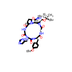 CC(C)(C)NC(=O)[C@H]1[C@@H]2[C@@H](CO[Si](C)(C)C(C)(C)C)N2C(=O)CNC(=O)[C@H](Cc2ccc(OC(C)(C)C)cc2)NC(=O)[C@H](Cc2cnc[nH]2)NC(=O)CNC(=O)[C@@H]2CCCN21